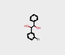 CCc1cccc(C(O)C(O)c2ccccc2)c1